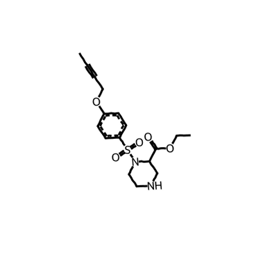 CC#CCOc1ccc(S(=O)(=O)N2CCNCC2C(=O)OCC)cc1